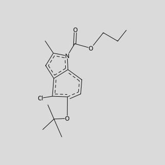 CCCOC(=O)n1c(C)cc2c(Cl)c(OC(C)(C)C)ccc21